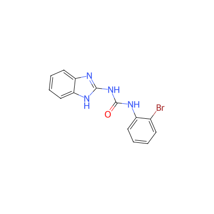 O=C(Nc1nc2ccccc2[nH]1)Nc1ccccc1Br